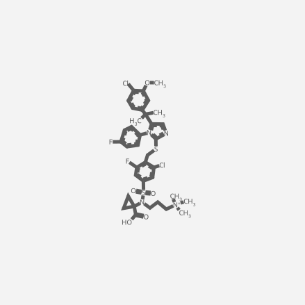 COc1cc(C(C)(C)c2cnc(SCc3c(F)cc(S(=O)(=O)N(CCC[N+](C)(C)C)C4(C(=O)O)CC4)cc3Cl)n2-c2ccc(F)cc2)ccc1Cl